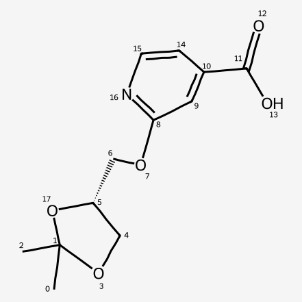 CC1(C)OC[C@@H](COc2cc(C(=O)O)ccn2)O1